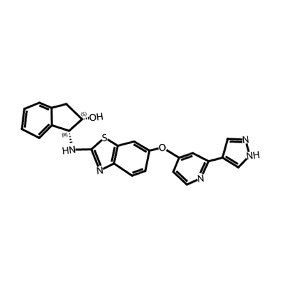 O[C@H]1Cc2ccccc2[C@H]1Nc1nc2ccc(Oc3ccnc(-c4cn[nH]c4)c3)cc2s1